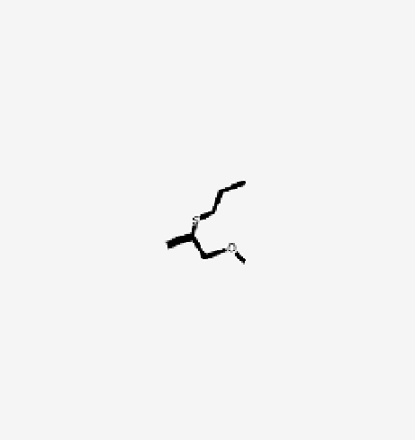 C=C(COC)SCCC